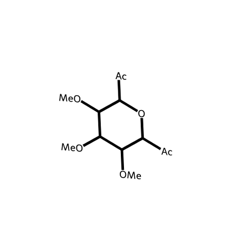 COC1C(C(C)=O)OC(C(C)=O)C(OC)C1OC